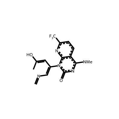 C=N/C=C(\C=C(/C)O)n1c(=O)nc(NC)c2ccc(C(F)(F)F)nc21